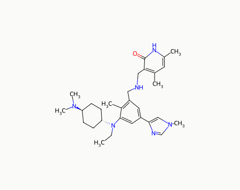 CCN(c1cc(-c2cn(C)cn2)cc(CNCc2c(C)cc(C)[nH]c2=O)c1C)[C@H]1CC[C@H](N(C)C)CC1